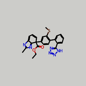 CCOC(=O)C1(c2ccc(-c3ccccc3-c3nnn[nH]3)c(SC)c2)C=CC=C2N=C(C)N=C21